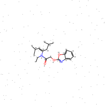 CCN(C(=O)COc1nc2ccccc2o1)/C(=C\C(C)C)CC(C)C